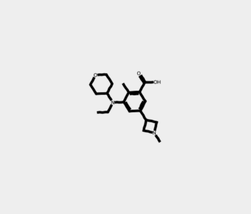 CCN(c1cc(C2CN(C)C2)cc(C(=O)O)c1C)C1CCOCC1